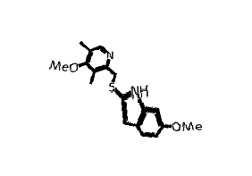 COc1ccc2cc(SCc3ncc(C)c(OC)c3C)[nH]c2c1